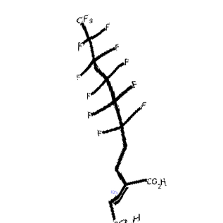 O=C(O)/C=C(/CCC(F)(F)C(F)(F)C(F)(F)C(F)(F)C(F)(F)C(F)(F)F)C(=O)O